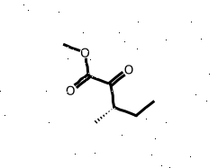 CC[C@H](C)C(=O)C(=O)OC